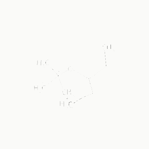 CC[C](CC)OC(C)(C)C